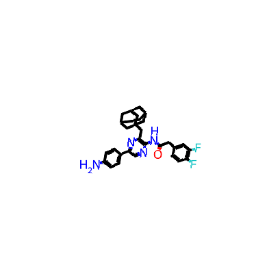 Nc1ccc(-c2cnc(NC(=O)Cc3ccc(F)c(F)c3)c(CC34CC5CC(CC(C5)C3)C4)n2)cc1